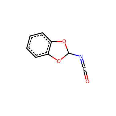 O=C=NC1Oc2ccccc2O1